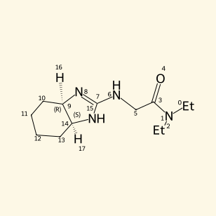 CCN(CC)C(=O)CNC1=N[C@@H]2CCCC[C@@H]2N1